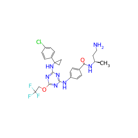 C[C@H](CCN)NC(=O)c1ccc(Nc2nc(NC3(c4ccc(Cl)cc4)CC3)nc(OCC(F)(F)F)n2)cc1